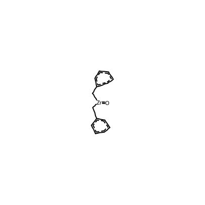 [O]=[Zr]([CH2]c1ccccc1)[CH2]c1ccccc1